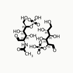 CC(=O)N[C@H](C=O)[C@@H](O)[C@H](O)[C@@H](CO)OS(=O)(=O)O.O=C[C@@H](OS(=O)(=O)O)[C@@H](O)[C@H](O)[C@H](O)CO